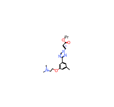 Cc1cc(OCCN(C)C)cc(-c2ncn(/C=C/C(=O)OC(C)C)n2)c1